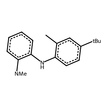 CNc1ccccc1Nc1ccc(C(C)(C)C)cc1C